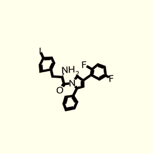 N[C@@H](Cc1ccc(I)cc1)C(=O)N1CC(c2cc(F)ccc2F)=CC1c1ccccc1